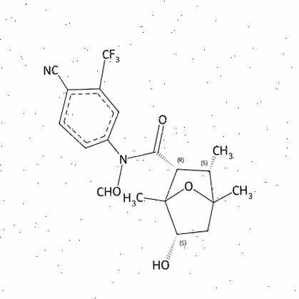 C[C@H]1[C@@H](C(=O)N(C=O)c2ccc(C#N)c(C(F)(F)F)c2)C2(C)OC1(C)C[C@@H]2O